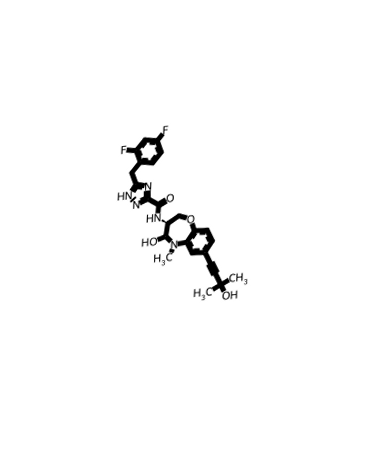 CN1c2cc(C#CC(C)(C)O)ccc2OC[C@@H](NC(=O)c2n[nH]c(Cc3ccc(F)cc3F)n2)C1O